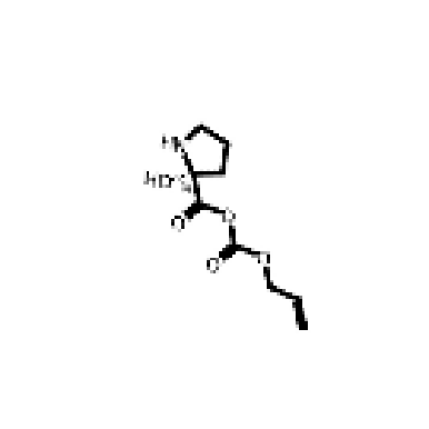 C=CCOC(=O)OC(=O)[C@]1(O)CCCN1